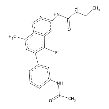 CCNC(=O)Nc1cc2c(F)c(-c3cccc(NC(C)=O)c3)cc(C)c2cn1